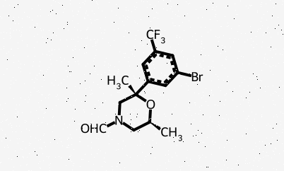 C[C@H]1CN(C=O)C[C@](C)(c2cc(Br)cc(C(F)(F)F)c2)O1